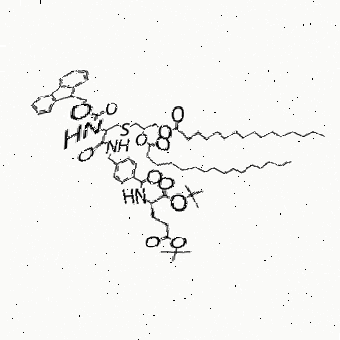 CCCCCCCCCCCCCCCC(=O)OC[C@H](CSCC(NC(=O)OCC1c2ccccc2-c2ccccc21)C(=O)NCc1ccc(C(=O)N[C@H](CCC(=O)OC(C)(C)C)C(=O)OC(C)(C)C)cc1)OC(=O)CCCCCCCCCCCCCCC